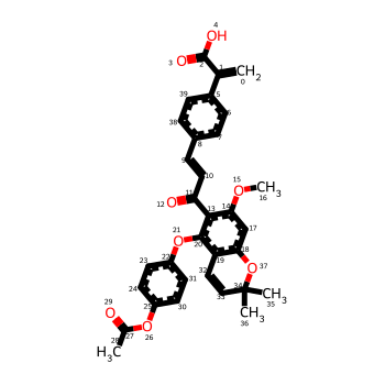 C=C(C(=O)O)c1ccc(C=CC(=O)c2c(OC)cc3c(c2Oc2ccc(OC(C)=O)cc2)C=CC(C)(C)O3)cc1